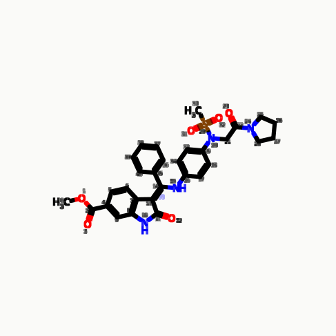 COC(=O)c1ccc2c(c1)NC(=O)/C2=C(\Nc1ccc(N(CC(=O)N2CCCC2)S(C)(=O)=O)cc1)c1ccccc1